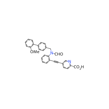 COc1ccccc1-c1ccc(CN(C=O)c2ccccc2C#Cc2ccc(C(=O)O)nc2)cc1